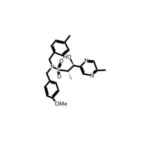 COc1ccc(CN(Cc2ccc(C)cc2)S(=O)(=O)[C@@H](C)[C@@H](O)c2cnc(C)cn2)cc1